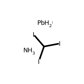 IC(I)I.N.[PbH2]